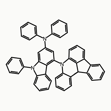 CC12c3ccccc3-c3cccc(c31)N(c1cc(N(c3ccccc3)c3ccccc3)cc3c1c1ccccc1n3-c1ccccc1)c1ccccc12